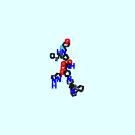 CCc1ccccc1C1CCCN1C1CC2(CCN(c3ccc(C(=O)NS(=O)(=O)c4ccc(NCC5(F)CCOCC5)c([N+](=O)[O-])c4)c(Oc4cnc5[nH]ccc5c4)c3)CC2)C1